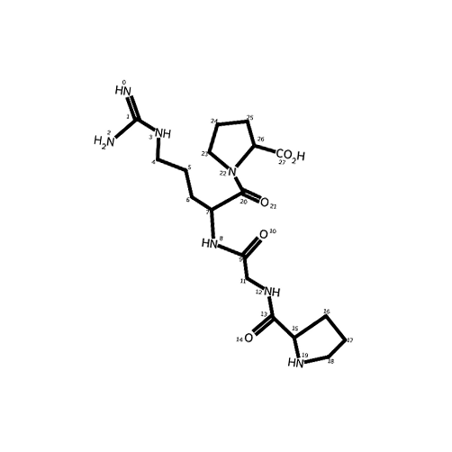 N=C(N)NCCCC(NC(=O)CNC(=O)C1CCCN1)C(=O)N1CCCC1C(=O)O